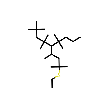 CCCC(C)(C)C(C(C)CC(C)(C)SCC)C(C)(C)CC(C)(C)C